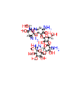 NC[C@@H]1O[C@H](O[C@H]2[C@@H](O)[C@H](O[C@@H]3[C@@H](O)[C@H](N)C[C@H](N)[C@H]3O[C@H]3O[C@H](CO)[C@@H](O)C[C@H]3N)O[C@@H]2CO)[C@H](N)[C@@H](O)[C@@H]1O[C@H]1O[C@H](CO)[C@@H](O)[C@H](O)[C@@H]1O